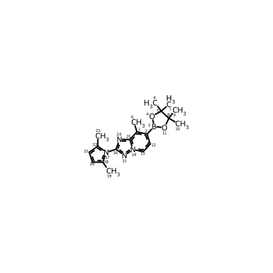 Cc1c(B2OC(C)(C)C(C)(C)O2)ccn2nc(-n3c(C)ccc3C)nc12